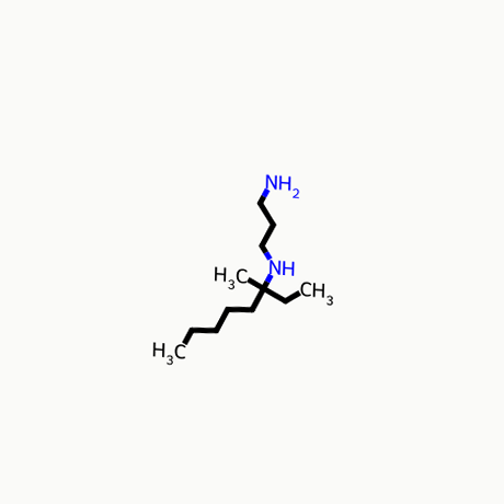 CCCCCC(C)(CC)NCCCN